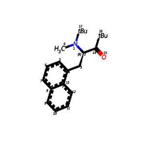 CN([C@H](Cc1cccc2ccccc12)C(=O)C(C)(C)C)C(C)(C)C